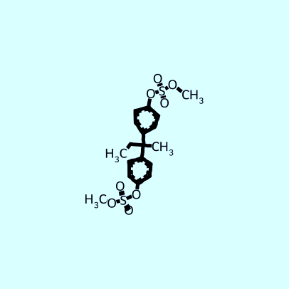 CCC(C)(c1ccc(OS(=O)(=O)OC)cc1)c1ccc(OS(=O)(=O)OC)cc1